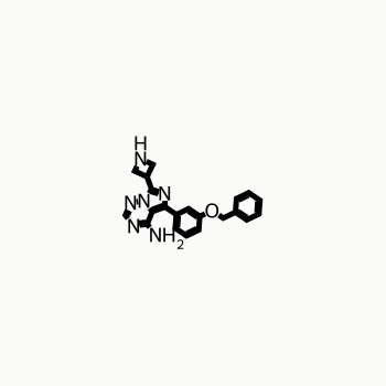 Nc1ncnn2c(C3CNC3)nc(-c3cccc(OCc4ccccc4)c3)c12